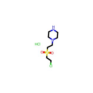 Cl.O=S(=O)(CCCl)CCN1CCNCC1